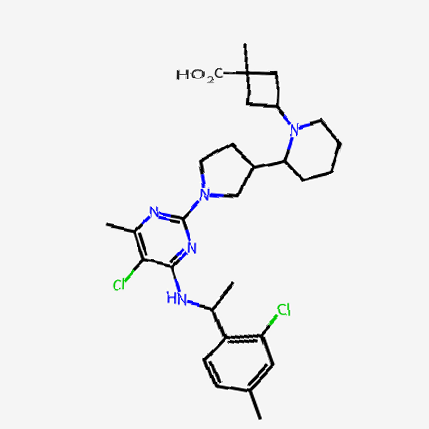 Cc1ccc(C(C)Nc2nc(N3CCC(C4CCCCN4C4CC(C)(C(=O)O)C4)C3)nc(C)c2Cl)c(Cl)c1